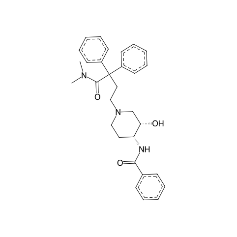 CN(C)C(=O)C(CCN1CC[C@@H](NC(=O)c2ccccc2)[C@@H](O)C1)(c1ccccc1)c1ccccc1